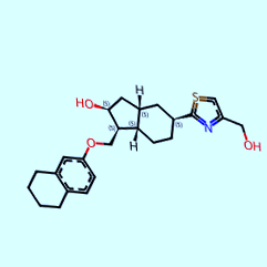 OCc1csc([C@H]2CC[C@H]3[C@@H](C2)C[C@H](O)[C@@H]3COc2ccc3c(c2)CCCC3)n1